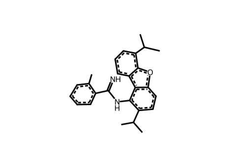 Cc1ccccc1C(=N)Nc1c(C(C)C)ccc2oc3c(C(C)C)cccc3c12